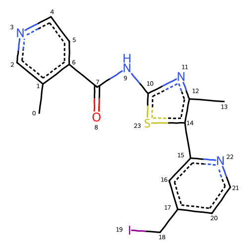 Cc1cnccc1C(=O)Nc1nc(C)c(-c2cc(CI)ccn2)s1